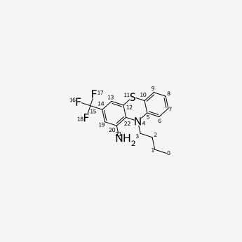 CCCCN1c2ccccc2Sc2cc(C(F)(F)F)cc(N)c21